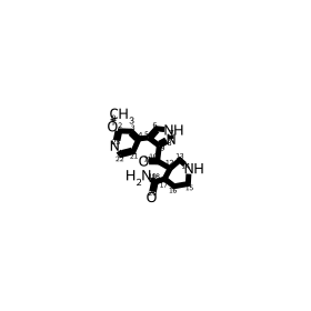 COc1cc(-c2c[nH]nc2C(=O)C2CNCCC2C(N)=O)ccn1